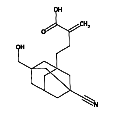 C=C(CCC12CC3CC(C#N)(CC(CO)(C3)C1)C2)C(=O)O